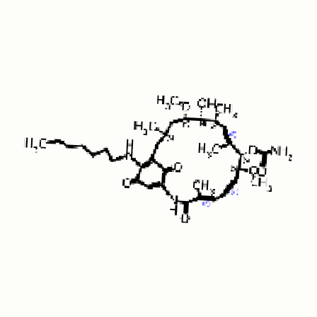 CCCCCCCNC1=C2C[C@@H](C)C[C@H](OC)[C@H](O)[C@@H](C)/C=C(\C)[C@H](OC(N)=O)[C@@H](OC)/C=C\C=C(/C)C(=O)NC(=CC1=O)C2=O